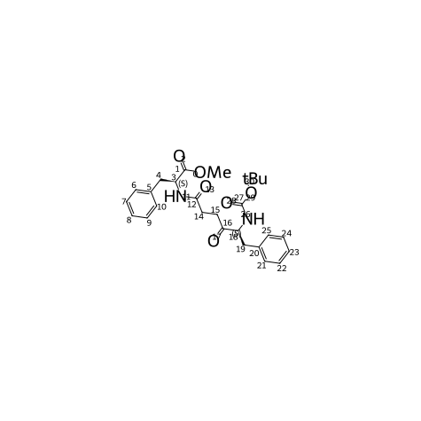 COC(=O)[C@H](Cc1ccccc1)NC(=O)CCC(=O)[C@H](Cc1ccccc1)NC(=O)OC(C)(C)C